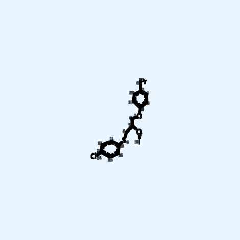 CC(C)c1ccc(OCC(CSc2ccc(Cl)cc2)OI)cc1